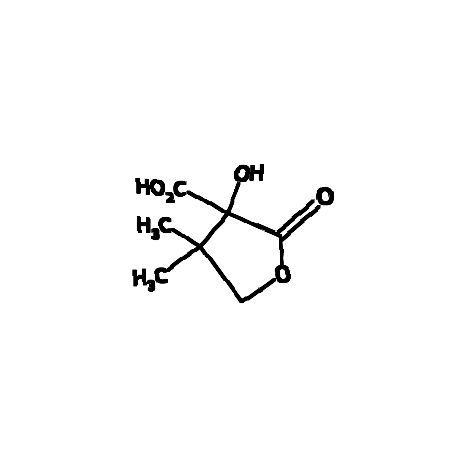 CC1(C)COC(=O)C1(O)C(=O)O